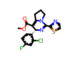 COC(=O)C1=C2CCCN2C(c2nccs2)=N[C@@H]1c1ccc(F)cc1Cl